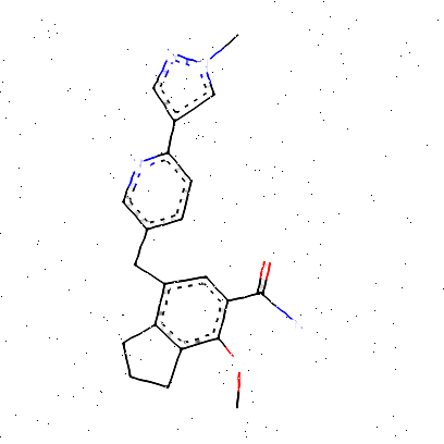 COc1c(C(N)=O)cc(Cc2ccc(-c3cnn(C)c3)nc2)c2c1CCC2